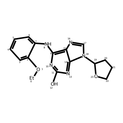 CCOc1ccccc1Nc1nc(O)nc2c1ncn2C1CCCO1